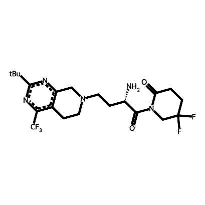 CC(C)(C)c1nc2c(c(C(F)(F)F)n1)CCN(CC[C@H](N)C(=O)N1CC(F)(F)CCC1=O)C2